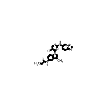 C=CC(=O)Nc1ccc2c(c1)c(C)cn2-c1nc(Nc2ccc3ncnn3c2)ncc1Cl